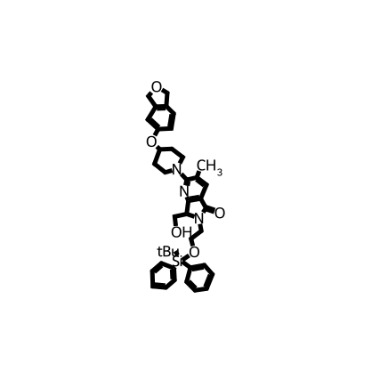 Cc1cc2c(nc1N1CCC(Oc3ccc4c(c3)COC4)CC1)C(CO)N(CCO[Si](c1ccccc1)(c1ccccc1)C(C)(C)C)C2=O